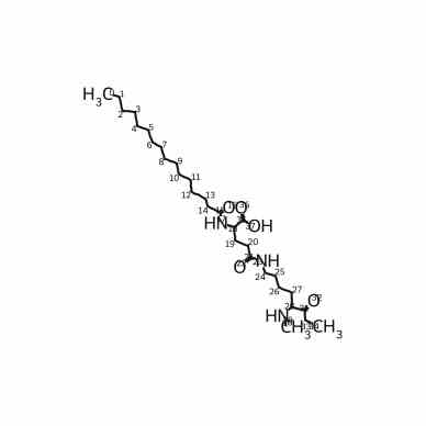 CCCCCCCCCCCCCCCC(=O)NC(CCC(=O)NCCCCC(NC)C(=O)CC)C(=O)O